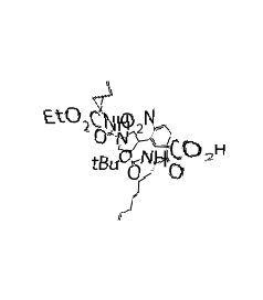 C=CCCCCC[C@H](NC(=O)OC(C)(C)C)C(=O)C1(C(=O)O)C=C(C2CCN(C(=O)NC3(C(=O)OCC)CC3C=C)C2)C([N+](=O)[O-])=CC1